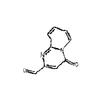 O=Cc1cc(=O)n2ccccc2n1